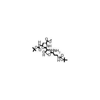 COC(=O)[C@H](CCNC(=O)OC(C)(C)C)NC(=O)C(NC(=O)[C@@H](N)CCNC(=O)OC(C)(C)C)[C@@H](C)O